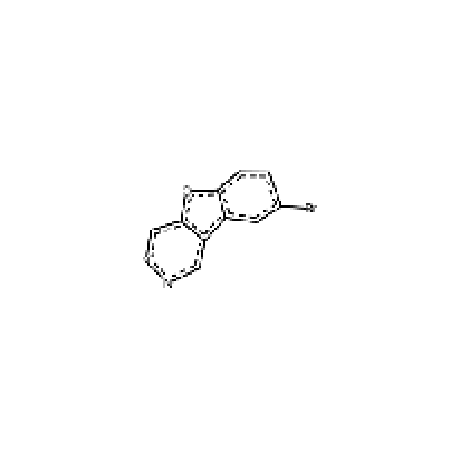 Brc1ccc2oc3cnncc3c2c1